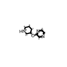 [c]1cncc(OC2CCCNC2)n1